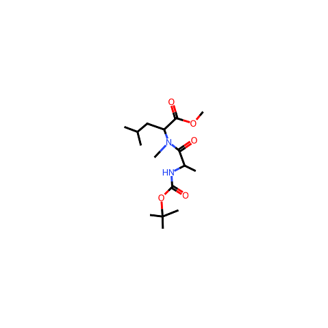 COC(=O)C(CC(C)C)N(C)C(=O)C(C)NC(=O)OC(C)(C)C